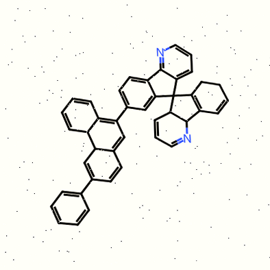 C1=CC2=C(c3ccc4c(c3)C3(C5=C(C=CCC5)C5N=CC=CC53)c3cccnc3-4)C=C3C=CC(c4ccccc4)=CC3C2C=C1